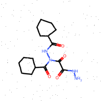 NNC(=O)C(=O)N(NC(=O)C1CCCCC1)C(=O)C1CCCCC1